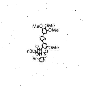 CCCCN(O)C(=O)Nc1cc(C2CCC(c3cc(OC)c(OC)c(OC)c3)S2)cc(OC)c1OC(C)Sc1cccc(Br)c1